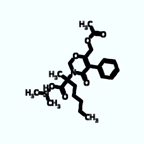 CCCCCC(C)(C(=O)O[SiH](C)C)N1COC(COC(C)=O)=C(c2ccccc2)C1=O